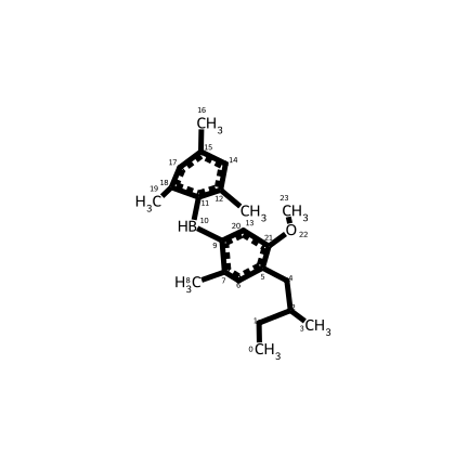 CCC(C)Cc1cc(C)c(Bc2c(C)cc(C)cc2C)cc1OC